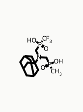 CP(=O)(O)CN(CP(=O)(O)C(F)(F)F)C12CC3CC(CC(C3)C1)C2